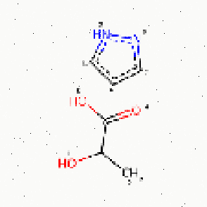 CC(O)C(=O)O.c1cn[nH]c1